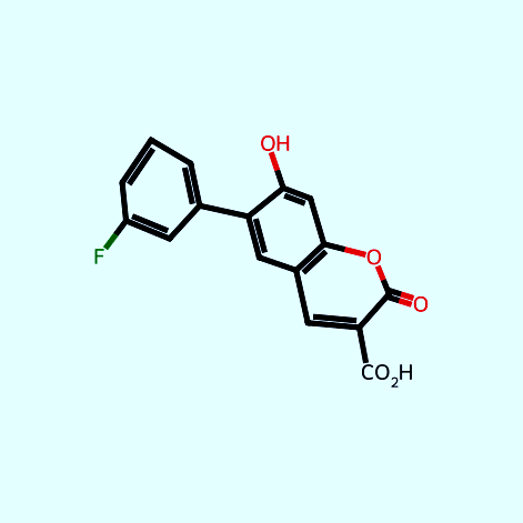 O=C(O)c1cc2cc(-c3cccc(F)c3)c(O)cc2oc1=O